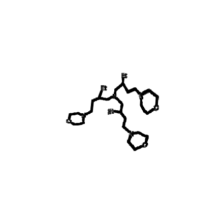 CCC(CCN1CCOCC1)CN(CC(CC)CCN1CCOCC1)CC(CC)CCN1CCOCC1